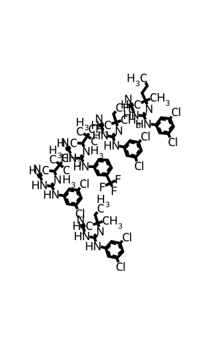 CC(N=C(NC#N)Nc1cc(Cl)cc(Cl)c1)C(C)(C)C.CC(N=C(NC#N)Nc1cccc(C(F)(F)F)c1)C(C)(C)C.CCC(C)(C)N=C(NC#N)Nc1cc(Cl)cc(Cl)c1.CCC(C)(C)N=C(NC#N)Nc1cc(Cl)cc(Cl)c1.CCCC(C)(C)N=C(NC#N)Nc1cc(Cl)cc(Cl)c1